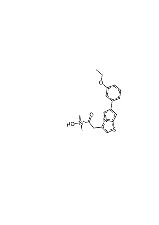 CCOc1cccc(-c2cc3scc(CC(=O)[N+](C)(C)O)n3c2)c1